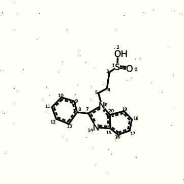 O=S(O)CCCn1c(-c2ccccc2)nc2ccccc21